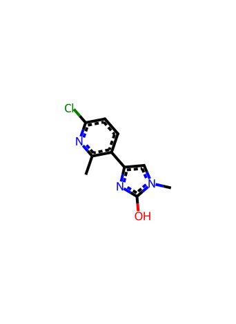 Cc1nc(Cl)ccc1-c1cn(C)c(O)n1